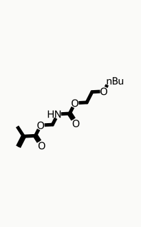 C=C(C)C(=O)OCNC(=O)OCCOCCCC